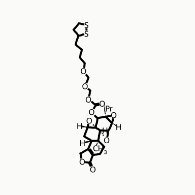 CC(C)[C@]12O[C@H]1[C@@H]1O[C@@]13[C@@]1(C)CCC4=C(COC4=O)[C@@H]1C[C@@H]1O[C@@]13C2OC(=O)OCOCOCCCCC1CCSS1